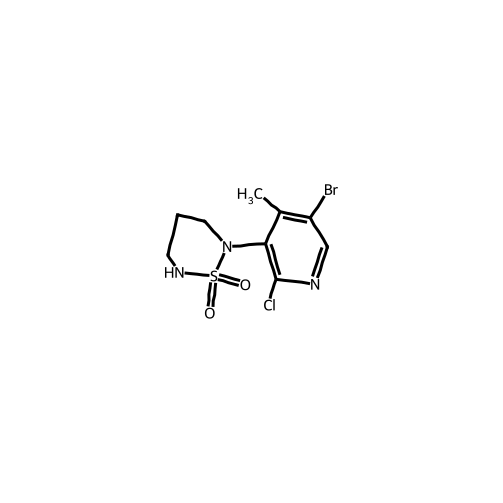 Cc1c(Br)cnc(Cl)c1N1CCCNS1(=O)=O